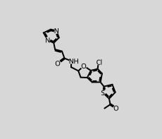 CC(=O)c1ccc(-c2cc(Cl)c3c(c2)CC(CNC(=O)/C=C/c2cnccn2)O3)s1